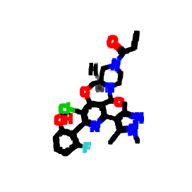 C=CC(=O)N1CCN2C(=O)c3c(-c4c(C)nn(C)c4C)nc(-c4c(O)cccc4F)c(Cl)c3OC[C@H]2C1